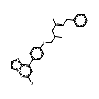 C[C](COc1ccc(-c2cc(Cl)nn3ccnc23)cc1)CC(C)=CCc1ccccc1